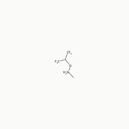 C[SiH2]OC(C(F)(F)F)C(F)(F)F